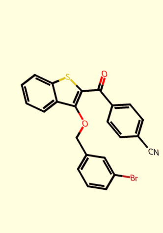 N#Cc1ccc(C(=O)c2sc3ccccc3c2OCc2cccc(Br)c2)cc1